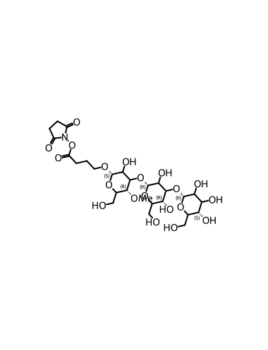 CO[C@@H]1C(CO)O[C@H](OCCCC(=O)ON2C(=O)CCC2=O)C(O)C1O[C@H]1OC(CO)[C@@H](O)C(O[C@H]2OC(CO)[C@@H](O)C(O)C2O)C1O